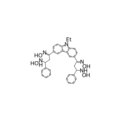 CCn1c2ccc(/C(CC(NO)c3ccccc3)=N/O)cc2c2cc(/C(CC(NO)c3ccccc3)=N/O)ccc21